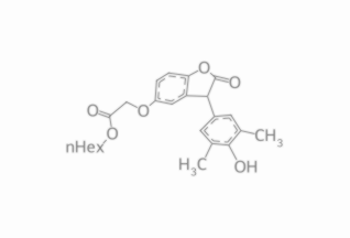 CCCCCCOC(=O)COc1ccc2c(c1)C(c1cc(C)c(O)c(C)c1)C(=O)O2